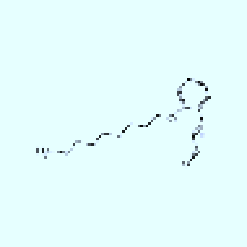 CCCCCCCCCOc1ccccc1/C=C/C=O